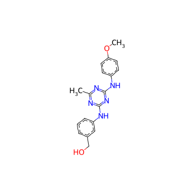 COc1ccc(Nc2nc(C)nc(Nc3cccc(CO)c3)n2)cc1